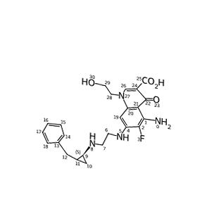 Nc1c(F)c(NCCN[C@H]2CC2Cc2ccccc2)cc2c1c(=O)c(C(=O)O)cn2CCO